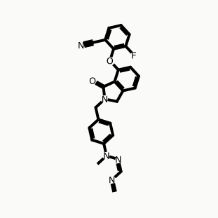 C=N/C=N\N(C)c1ccc(CN2Cc3cccc(Oc4c(F)cccc4C#N)c3C2=O)cc1